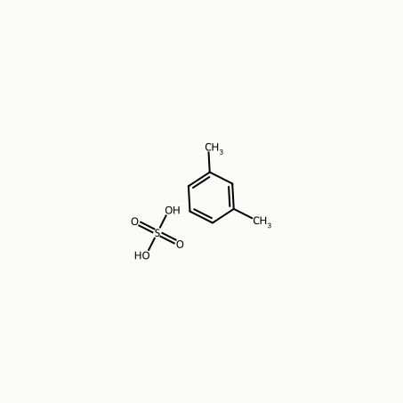 Cc1cccc(C)c1.O=S(=O)(O)O